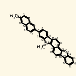 Cc1ccc2cc(-c3ccc4c5ccc6c(ccc7c8ccccc8sc76)c5n(C)c4c3)ccc2c1